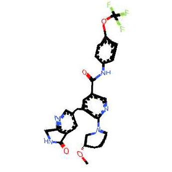 CO[C@H]1CCN(c2ncc(C(=O)Nc3ccc(OC(F)(F)F)cc3)cc2-c2cnc3c(c2)C(=O)NC3)C1